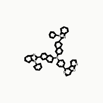 c1ccc(-n2c(-c3ccc4cc(N(c5ccc(-c6nccc7oc8ncccc8c67)cc5)c5ccc6cc(-c7nc8ccccc8n7-c7ccccc7)ccc6c5)ccc4c3)nc3ccccc32)cc1